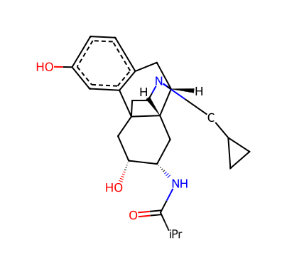 CC(C)C(=O)N[C@H]1C[C@H]2[C@H]3Cc4ccc(O)cc4C2(CCN3CC2CC2)C[C@H]1O